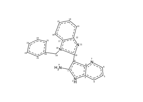 Nc1[nH]c2cccnc2c1-c1nc2ccccc2n1Cc1ccccc1